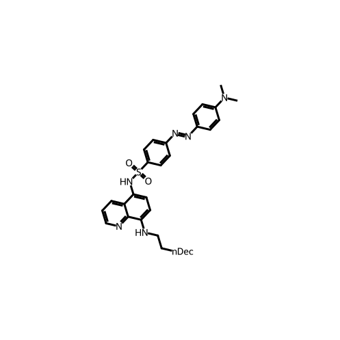 CCCCCCCCCCCCNc1ccc(NS(=O)(=O)c2ccc(N=Nc3ccc(N(C)C)cc3)cc2)c2cccnc12